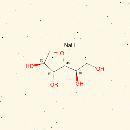 OC[C@@H](O)[C@H]1OC[C@H](O)[C@H]1O.[NaH]